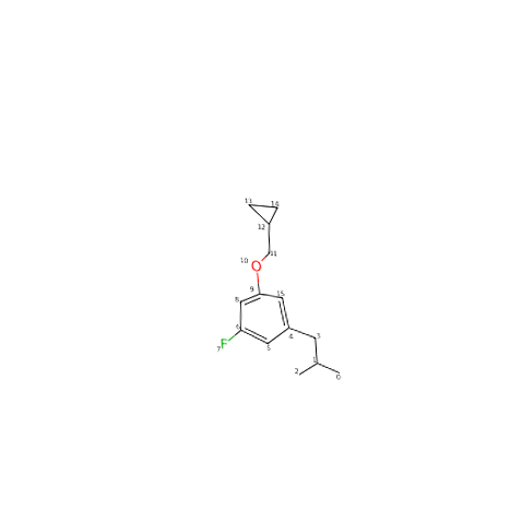 CC(C)Cc1cc(F)cc(OCC2CC2)c1